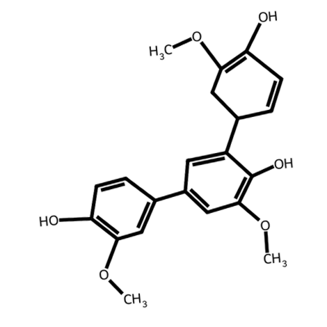 COC1=C(O)C=CC(c2cc(-c3ccc(O)c(OC)c3)cc(OC)c2O)C1